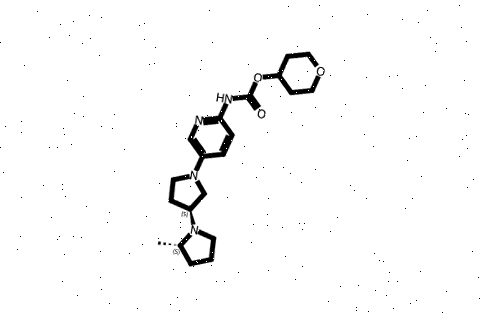 C[C@H]1CCCN1[C@H]1CCN(c2ccc(NC(=O)OC3CCOCC3)nc2)C1